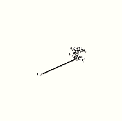 C=CCC1O[C@H](OC[C@H](NC(=O)C#CC#CC#CC#CC#CC#CC#CC#CC#CC#CC#CC#CC)[C@H](N)CC)[C@@H](C=C)C(C=C)[C@H]1C=C